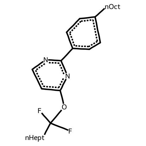 CCCCCCCCc1ccc(-c2nccc(OC(F)(F)CCCCCCC)n2)cc1